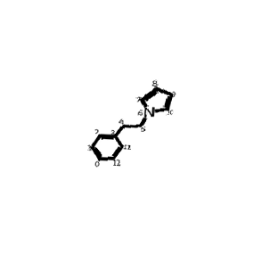 c1ccc(CCn2cccc2)cc1